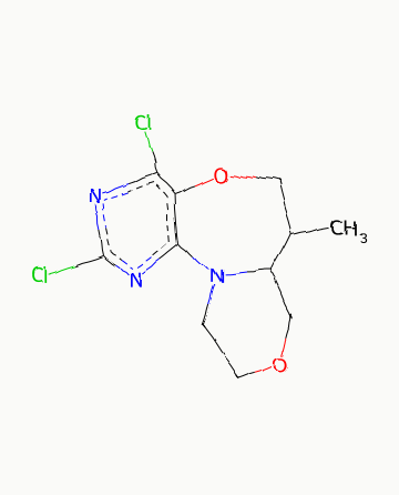 CC1COc2c(Cl)nc(Cl)nc2N2CCOCC12